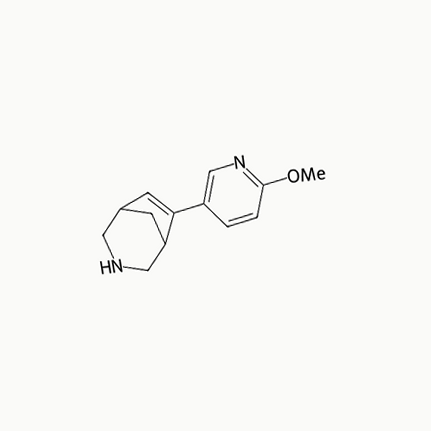 COc1ccc(C2=CC3CNCC2C3)cn1